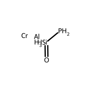 O=[SiH]P.[AlH3].[Cr]